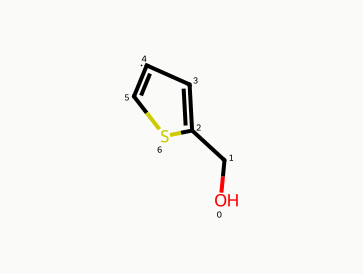 OCc1c[c]cs1